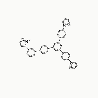 Cn1nccc1-c1cccc(-c2ccc(-c3cc(-c4ccc(-n5cccn5)cc4)cc(-c4ccc(-n5cccn5)cc4)c3)cc2)c1